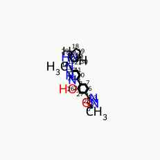 Cc1nnc(-c2ccc(-c3ccc(N(C)C4C[C@H]5CC[C@@H](C4)N5)nn3)c(O)c2)o1